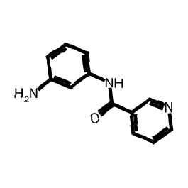 Nc1cccc(NC(=O)c2cccnc2)c1